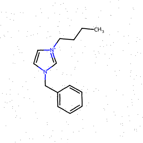 CCCC[n+]1ccn(Cc2ccccc2)c1